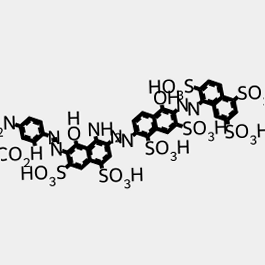 Nc1c(N=Nc2ccc3c(O)c(N=Nc4c(S(=O)(=O)O)ccc5c(S(=O)(=O)O)cc(S(=O)(=O)O)cc45)c(S(=O)(=O)O)cc3c2S(=O)(=O)O)cc(S(=O)(=O)O)c2cc(S(=O)(=O)O)c(N=Nc3ccc([N+](=O)[O-])cc3C(=O)O)c(O)c12